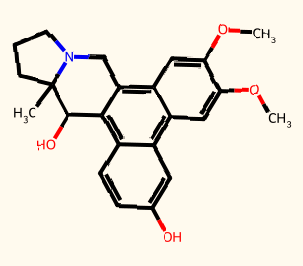 COc1cc2c3c(c4ccc(O)cc4c2cc1OC)C(O)C1(C)CCCN1C3